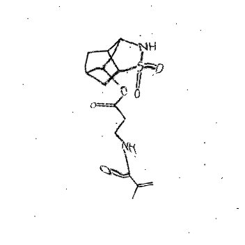 C=C(C)C(=O)NCCC(=O)OC1C2CC3C1NS(=O)(=O)C3C2